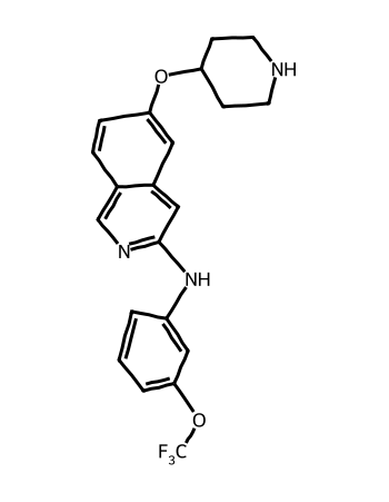 FC(F)(F)Oc1cccc(Nc2cc3cc(OC4CCNCC4)ccc3cn2)c1